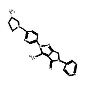 Cc1c2c(nn1-c1ccc(N3CC[C@H](C)C3)nc1)CN(c1ccncc1)C2=O